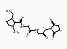 CCN1CCN(C)C1C(=O)NCC(=O)NCC(=O)ON1C(=O)CCC1=O